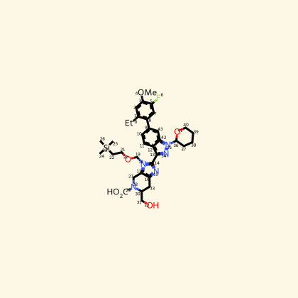 CCc1cc(OC)c(F)cc1-c1ccc2c(-c3nc4c(n3COCC[Si](C)(C)C)CN(C(=O)O)C(CO)C4)nn(C3CCCCO3)c2c1